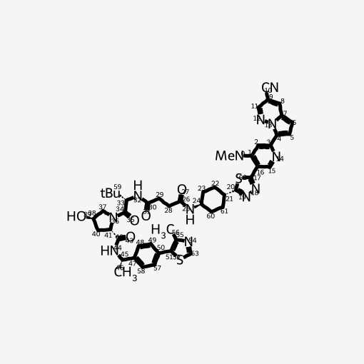 CNc1cc(-c2ccc3cc(C#N)cnn23)ncc1-c1nnc([C@H]2CC[C@H](NC(=O)CCC(=O)N[C@H](C(=O)N3C[C@H](O)C[C@H]3C(=O)N[C@@H](C)c3ccc(-c4scnc4C)cc3)C(C)(C)C)CC2)s1